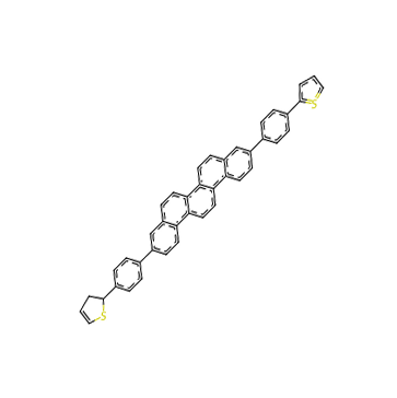 C1=CSC(c2ccc(-c3ccc4c(ccc5c4ccc4c6ccc(-c7ccc(-c8cccs8)cc7)cc6ccc45)c3)cc2)C1